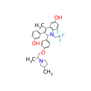 CC1=C(c2cccc(O)c2)C(c2ccc(OCC(C)N3CCC(C)C3)cc2)N(CC(F)(F)F)c2ccc(O)cc21